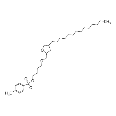 CCCCCCCCCCCCCCC1COC(COCCCCOS(=O)(=O)c2ccc(C)cc2)C1